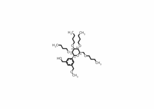 CCCCOC[C@H]1O[C@@H](c2cc(CO)cc(COC)c2)[C@H](OCCCC)[C@@H](OCCCC)[C@@H]1OCCCC